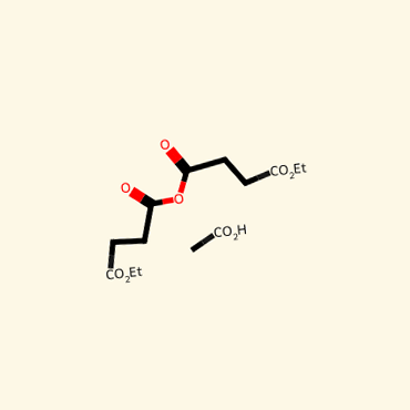 CC(=O)O.CCOC(=O)CCC(=O)OC(=O)CCC(=O)OCC